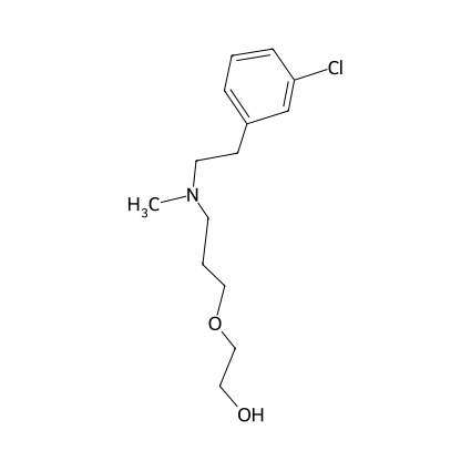 CN(CCCOCCO)CCc1cccc(Cl)c1